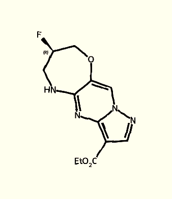 CCOC(=O)c1cnn2cc3c(nc12)NC[C@@H](F)CO3